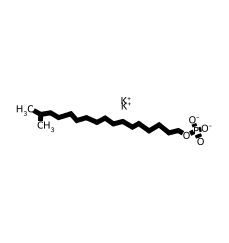 CC(C)CCCCCCCCCCCCCCCOP(=O)([O-])[O-].[K+].[K+]